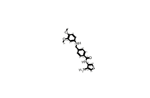 COc1ccc(NCc2ccc(C(=O)Nc3cscc3N)cc2)cc1OC